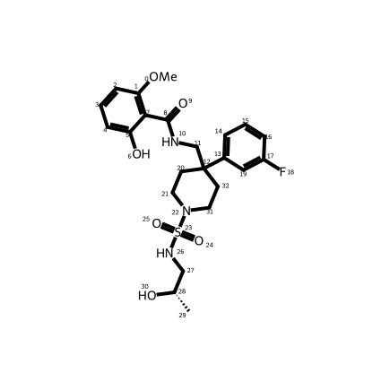 COc1cccc(O)c1C(=O)NCC1(c2cccc(F)c2)CCN(S(=O)(=O)NC[C@H](C)O)CC1